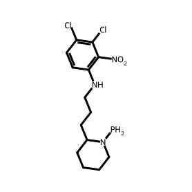 O=[N+]([O-])c1c(NCCCC2CCCCN2P)ccc(Cl)c1Cl